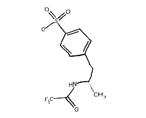 C[C@@H](Cc1ccc(S(=O)(=O)Cl)cc1)NC(=O)C(F)(F)F